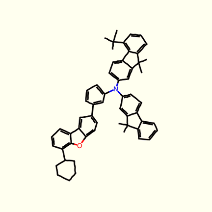 CC(C)(C)c1cccc2c1-c1ccc(N(c3cccc(-c4ccc5oc6c(C7CCCCC7)cccc6c5c4)c3)c3ccc4c(c3)C(C)(C)c3ccccc3-4)cc1C2(C)C